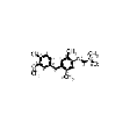 CCN(C)C=Nc1cc(C)c(Cc2ccc(Cl)c(OC(F)(F)F)c2)cc1C